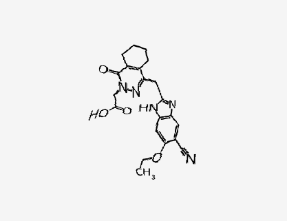 CCOc1cc2[nH]c(Cc3nn(CC(=O)O)c(=O)c4c3CCCC4)nc2cc1C#N